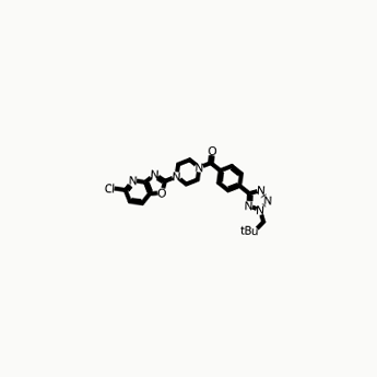 CC(C)(C)Cn1nnc(-c2ccc(C(=O)N3CCN(c4nc5nc(Cl)ccc5o4)CC3)cc2)n1